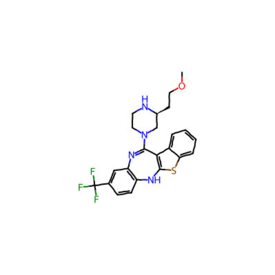 COCC[C@H]1CN(C2=Nc3cc(C(F)(F)F)ccc3Nc3sc4ccccc4c32)CCN1